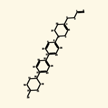 C=CCCC1=CCC(c2ccc(-c3ccc(C4CCC(C)CC4)cc3)cc2)CC1